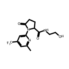 Cc1cc(C(F)(F)F)cc(N2C(=O)CCC2C(=O)NCCO)n1